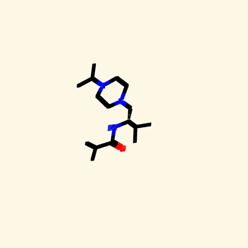 CC(C)C(=O)N[C@H](CN1CCN(C(C)C)CC1)C(C)C